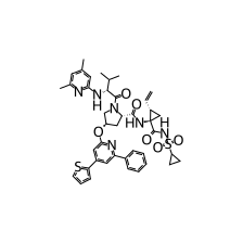 C=C[C@@H]1C[C@]1(NC(=O)[C@@H]1C[C@@H](Oc2cc(-c3cccs3)cc(-c3ccccc3)n2)CN1C(=O)[C@H](Nc1cc(C)cc(C)n1)C(C)C)C(=O)NS(=O)(=O)C1CC1